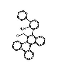 Nc1c(-c2ccccc2)cccc1-c1c(CCl)c2c3ccccc3c3ccccc3c2c2ccccc12